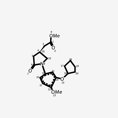 COC(=O)C[C@@H]1CC(=O)N(c2ccc(OC)c(OC3CCCC3)c2)C1